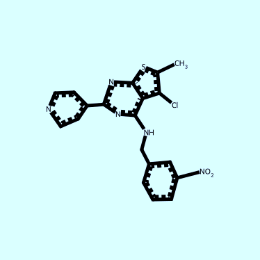 Cc1sc2nc(-c3ccncc3)nc(NCc3cccc([N+](=O)[O-])c3)c2c1Cl